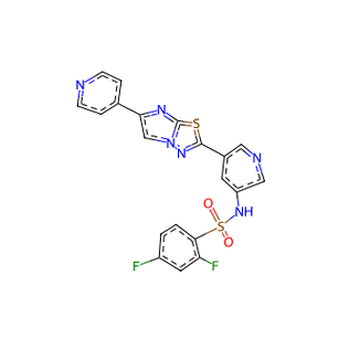 O=S(=O)(Nc1cncc(-c2nn3cc(-c4ccncc4)nc3s2)c1)c1ccc(F)cc1F